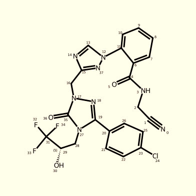 N#CCNC(=O)c1ccccc1-n1cnc(Cn2nc(-c3ccc(Cl)cc3)n(C[C@H](O)C(F)(F)F)c2=O)n1